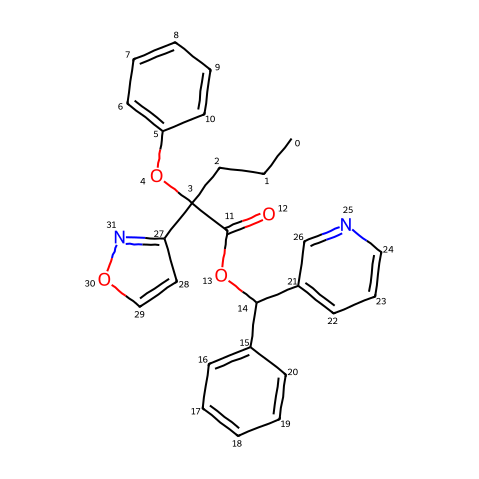 CCCC(Oc1ccccc1)(C(=O)OC(c1ccccc1)c1cccnc1)c1ccon1